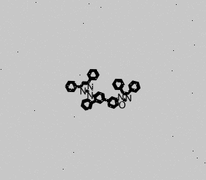 c1ccc(-c2cc(-c3ccccc3)nc(-n3c4ccccc4c4cc(-c5ccc6oc7nc(-c8ccccc8)c(-c8ccccc8)n7c6c5)ccc43)n2)cc1